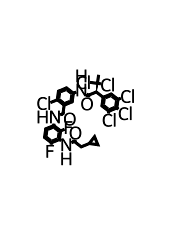 CC(Cl)(Cl)[C@H](C(=O)Nc1ccc(Cl)c(C(=O)Nc2ccc(F)c(NC(=O)CC3CC3)c2F)c1)c1cc(Cl)c(Cl)c(Cl)c1